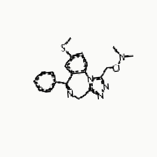 CSc1ccc2c(c1)C(c1ccccc1)=NCc1nnc(CON(C)C)n1-2